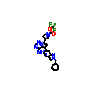 Nc1ncnn2c(C3CCN(C(=O)OC(F)(F)F)C3)cc(-c3ccc4cn(Cc5ccccc5)nc4c3)c12